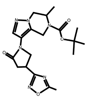 Cc1nc(C2CC(=O)N(c3cnn4c3CN(C(=O)OC(C)(C)C)C(C)C4)C2)no1